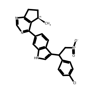 C[C@@H]1CCc2ncnc(-c3ccc4c(C(C[N+](=O)[O-])c5ccc(Cl)cc5)c[nH]c4c3)c21